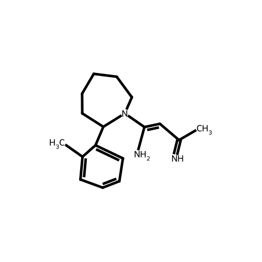 CC(=N)/C=C(\N)N1CCCCCC1c1ccccc1C